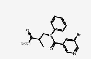 COC(=O)C(C)CN(C(=O)c1cncc(Br)c1)c1ccccc1